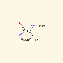 O=CNc1ccc[nH]c1=O.[Fe]